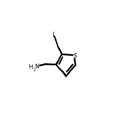 Nc1ccsc1I